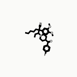 CCCCCC(C#N)(c1ccc(OC)c(OC)c1)C(CC)N1CCC(C(=O)c2ccc(F)cc2)CC1